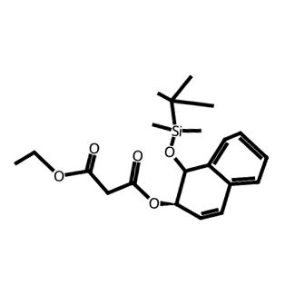 CCOC(=O)CC(=O)O[C@@H]1C=Cc2ccccc2C1O[Si](C)(C)C(C)(C)C